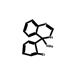 CCc1ccccc1C1(NC)NC=Nc2ccccc21